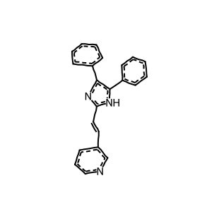 C(=C\c1nc(-c2ccccc2)c(-c2ccccc2)[nH]1)/c1cccnc1